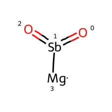 [O]=[Sb](=[O])[Mg]